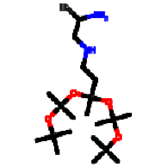 CCC(N)CNCC[Si](C)(O[Si](C)(C)O[Si](C)(C)C)O[Si](C)(C)O[Si](C)(C)C